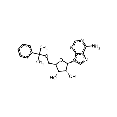 CC(C)(OC[C@H]1O[C@@H](n2cnc3c(N)ncnc32)[C@H](O)[C@@H]1O)c1ccccc1